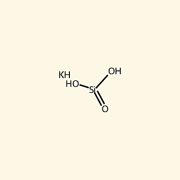 O=[Si](O)O.[KH]